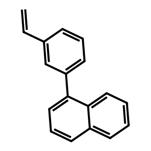 C=Cc1cccc(-c2cccc3ccccc23)c1